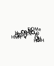 CCn1c(-c2cc3ccc(C4C[C@@H]5CCNC[C@@H]5N4)nc3n2CC2CC2)nc2cc(C(=O)N3CC[C@@H]4CCN[C@@H]4C3)cc(OC)c21